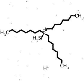 CCCCCCCC[PH]([SiH3])(CCCCCCCC)CCCCCCCC.[H+]